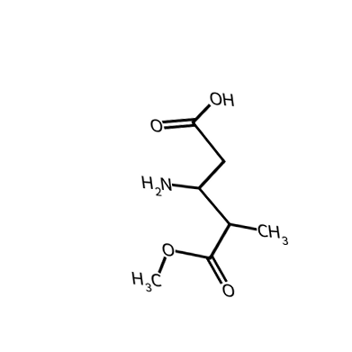 COC(=O)C(C)C(N)CC(=O)O